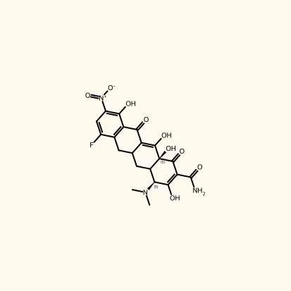 CN(C)[C@@H]1C(O)=C(C(N)=O)C(=O)[C@@]2(O)C(O)=C3C(=O)c4c(O)c([N+](=O)[O-])cc(F)c4CC3CC12